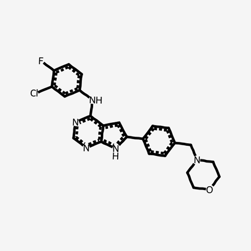 Fc1ccc(Nc2ncnc3[nH]c(-c4ccc(CN5CCOCC5)cc4)cc23)cc1Cl